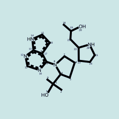 CC(C)(O)C1CCCN1c1ncnc2[nH]ccc12.CC(O)CC1CCCN1